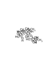 CC(=O)NC1[C@H](COC[C@@H]2C(CO)O[C@@H](COC[C@@H]3C(CO)O[C@@H](O)C(NC(C)=O)[C@H]3O)C(NC(C)=O)[C@H]2OC(C)O)OC(CO)[C@@H](O)[C@@H]1O